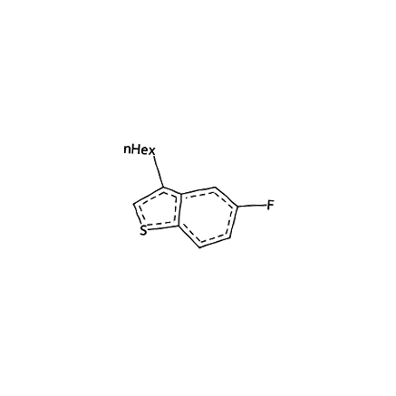 [CH2]CCCCCc1csc2ccc(F)cc12